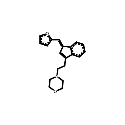 C1=C(CCN2CCOCC2)c2ccccc2/C1=C/c1ccco1